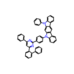 c1ccc(-c2cc(-c3ccccc3-c3ccccc3)nc(-c3ccc(-n4c5ccccc5c5cc6c7ccccc7n(-c7ccccc7)c6cc54)cc3)n2)cc1